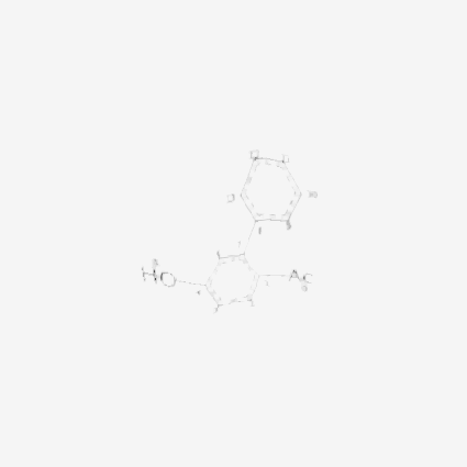 CC(=O)c1ccc(O)cc1-c1ccccc1